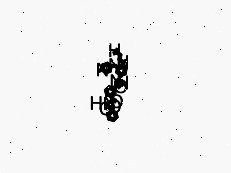 CC(C)CCN(C)c1ccc(-c2noc(-c3cccc(C(=O)NS(=O)(=O)c4ccccc4)c3)n2)cc1NC1CCN(C)CC1